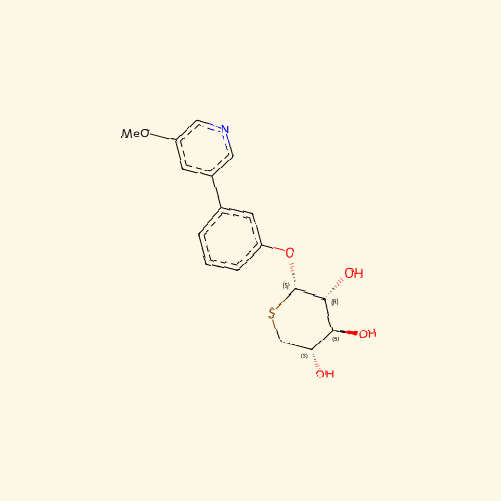 COc1cncc(-c2cccc(O[C@H]3SC[C@@H](O)[C@H](O)[C@H]3O)c2)c1